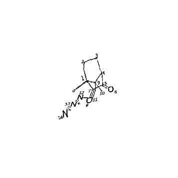 CC12CCC(C(=O)C1=O)C2(C)CN=[N+]=[N-]